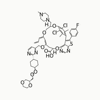 C=C/C=C1\C=C(/OCc2ccnc([C@H]3CC[C@H](OOC[C@@H]4COCCO4)CC3)n2)C[C@H](C(=O)O)Oc2ncnc3sc(-c4ccc(F)cc4)c(c23)-c2c(C)c(Cl)c(c(Cl)c2C)O[C@H](CN2CCN(C)CC2)CO1